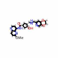 COc1ccc2nccc(NC(=O)[C@H]3C[C@H](CNCc4cc5c(cn4)OCCO5)[C@H](O)C3)c2n1